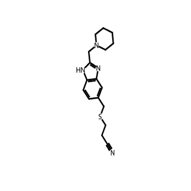 N#CCCSCc1ccc2[nH]c(CN3CCCCC3)nc2c1